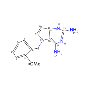 COc1ccccc1Cn1ccc2nc(N)nc(N)c21